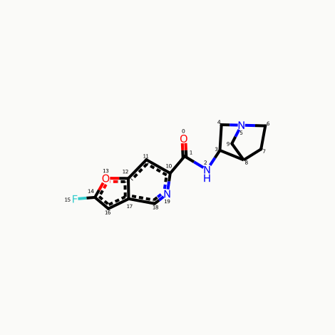 O=C(NC1CN2CCC1C2)c1cc2oc(F)cc2cn1